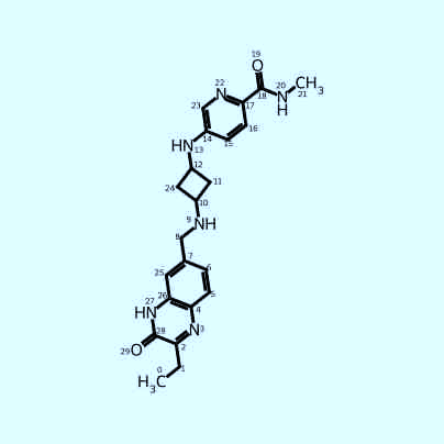 CCc1nc2ccc(CNC3CC(Nc4ccc(C(=O)NC)nc4)C3)cc2[nH]c1=O